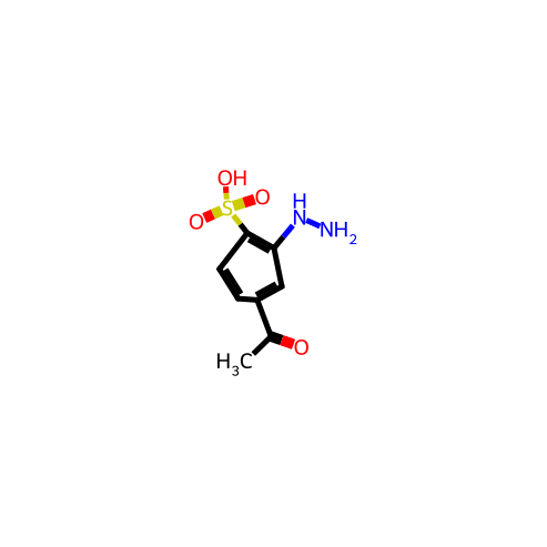 CC(=O)c1ccc(S(=O)(=O)O)c(NN)c1